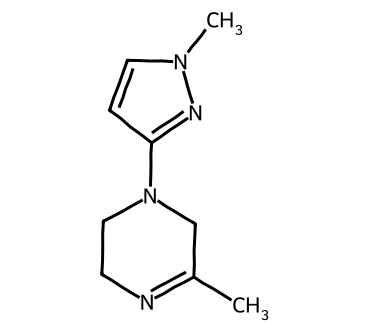 CC1=NCCN(c2ccn(C)n2)C1